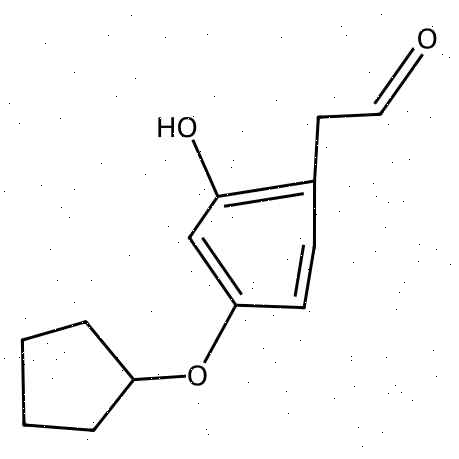 O=CCc1ccc(OC2CCCC2)cc1O